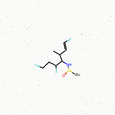 CC(C=CF)C(N[S+]([O-])C(C)(C)C)C(F)CCF